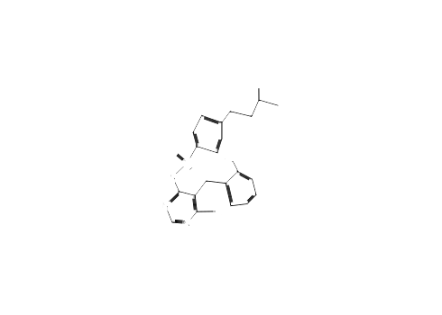 CC(C)CCc1ccc(S(=O)(=O)Nc2ncnc(Cl)c2Cc2ccccc2Cl)cc1